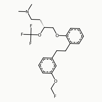 CN(C)CC[C@H](COc1ccccc1CCc1cccc(OCF)c1)OC(F)(F)F